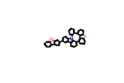 c1ccc2c(c1)oc1cc(-c3ccc4c(c3)c3cccc5c6cccc7sc8cccc(c9ccccc9n4c53)c8c76)ccc12